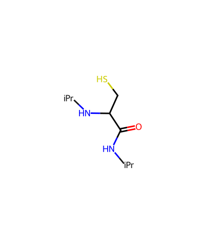 CC(C)NC(=O)C(CS)NC(C)C